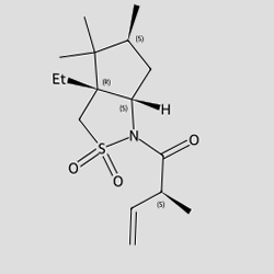 C=C[C@H](C)C(=O)N1[C@H]2C[C@H](C)C(C)(C)[C@@]2(CC)CS1(=O)=O